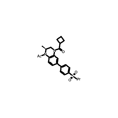 CC(=O)N1c2ccc(-c3ccc(S(=O)(=O)C(C)C)cc3)cc2N(C(=O)C2CCC2)C[C@@H]1C